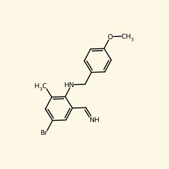 COc1ccc(CNc2c(C)cc(Br)cc2C=N)cc1